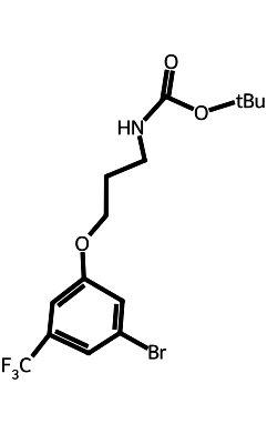 CC(C)(C)OC(=O)NCCCOc1cc(Br)cc(C(F)(F)F)c1